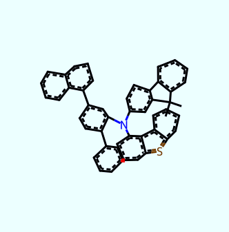 CC1(C)c2ccccc2-c2ccc(N(c3cc(-c4cccc5ccccc45)ccc3-c3ccccc3)c3cccc4sc5ccccc5c34)cc21